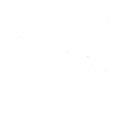 CC[C@@H](NP(=O)(c1ccccc1)c1ccccc1)c1ccc(Cl)cc1